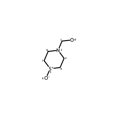 [O]CN1CC[S+]([O-])CC1